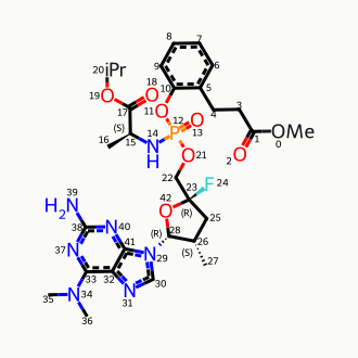 COC(=O)CCc1ccccc1OP(=O)(N[C@@H](C)C(=O)OC(C)C)OC[C@]1(F)C[C@H](C)[C@H](n2cnc3c(N(C)C)nc(N)nc32)O1